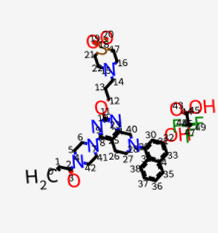 C=CC(=O)N1CCN(c2nc(OCCCN3CCS(=O)(=O)CC3)nc3c2CCN(c2cc(O)cc4ccccc24)C3)CC1.O=C(O)C(F)(F)F